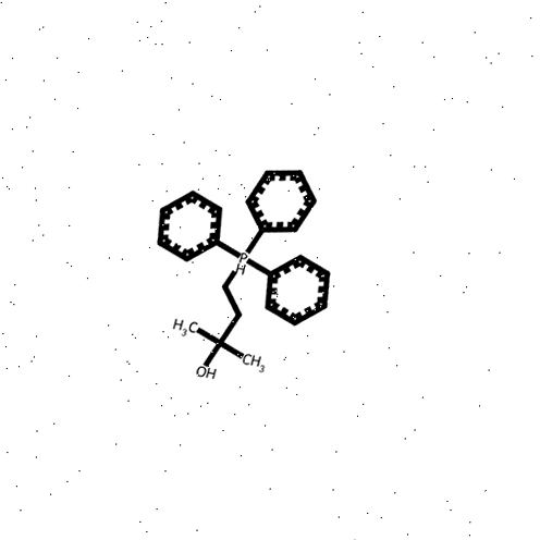 CC(C)(O)CC[PH](c1ccccc1)(c1ccccc1)c1ccccc1